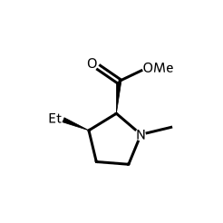 CC[C@@H]1CCN(C)[C@@H]1C(=O)OC